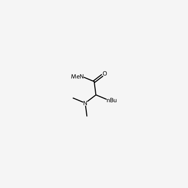 CN(C)C(CCC[13CH3])C(=O)N[13CH3]